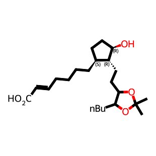 CCCCC1OC(C)(C)OC1CC[C@@H]1[C@@H](CCCCC=CC(=O)O)CC[C@H]1O